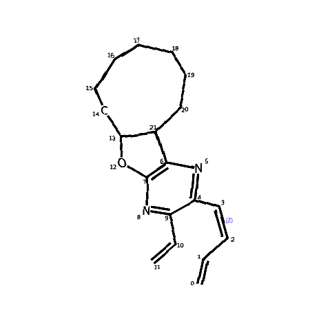 C=C/C=C\c1nc2c(nc1C=C)OC1CCCCCCCC21